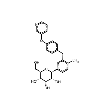 Cc1ccc([C@@H]2O[C@H](CO)[C@@H](O)[C@H](O)[C@H]2O)cc1Cc1ccc(Oc2cccnc2)cc1